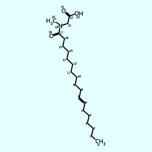 CCCCCCC=CCCCCCCCCCC(=O)N(C)CC(=O)O